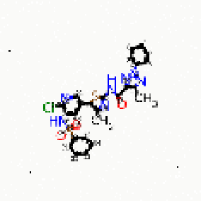 Cc1nn(-c2ccccc2)nc1C(=O)Nc1nc(C)c(-c2cnc(Cl)c(NS(=O)(=O)c3ccccc3)c2)s1